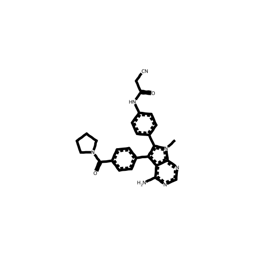 Cn1c(-c2ccc(NC(=O)CC#N)cc2)c(-c2ccc(C(=O)N3CCCC3)cc2)c2c(N)ncnc21